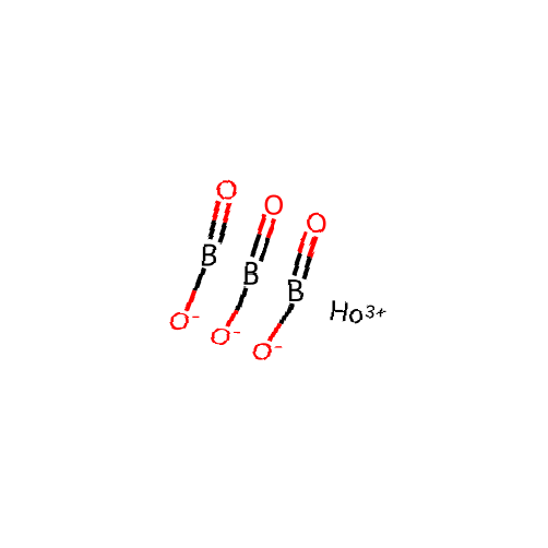 O=B[O-].O=B[O-].O=B[O-].[Ho+3]